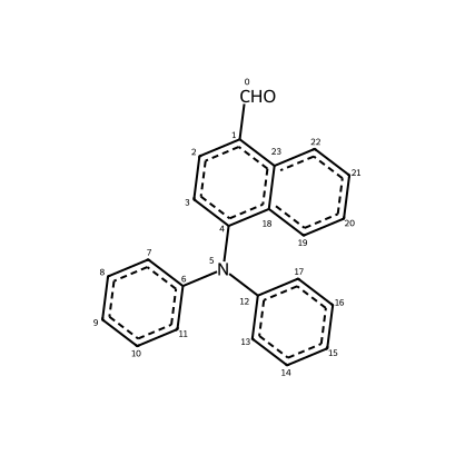 O=Cc1ccc(N(c2ccccc2)c2ccccc2)c2ccccc12